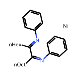 CCCCCCCCC(=Nc1ccccc1)C(CCCCCC)=Nc1ccccc1.[Ni]